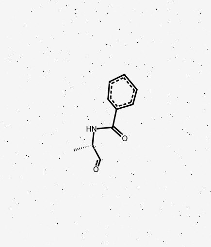 C[C@@H]([C]=O)NC(=O)c1ccccc1